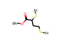 CC(=O)SCCC(SC(C)=O)C(=O)OC(C)(C)C